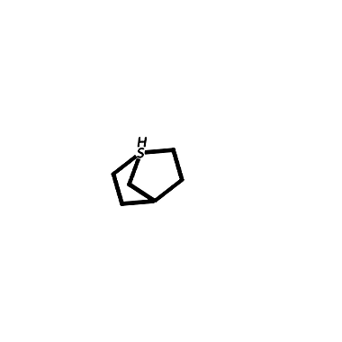 C1C[SH]2CCC1C2